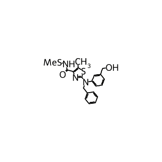 CSNC(=O)c1nc(N(Cc2ccccc2)c2cccc(CO)c2)sc1C